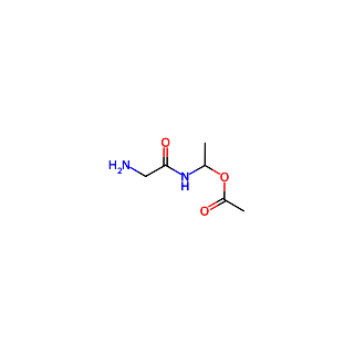 CC(=O)OC(C)NC(=O)CN